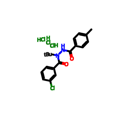 Cc1ccc(C(=O)NN(C(=O)c2cccc(Cl)c2)C(C)(C)C)cc1.Cl.Cl.Cl